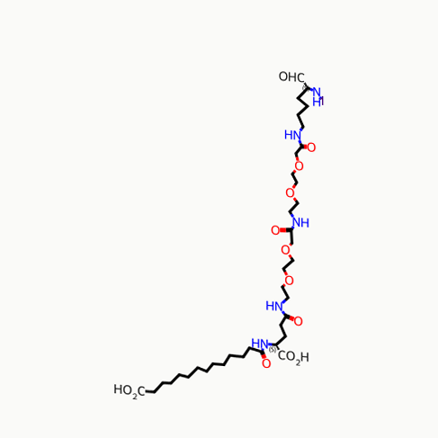 O=C[C@H](CCCCNC(=O)COCCOCCNC(=O)COCCOCCNC(=O)CC[C@H](NC(=O)CCCCCCCCCCCCC(=O)O)C(=O)O)NI